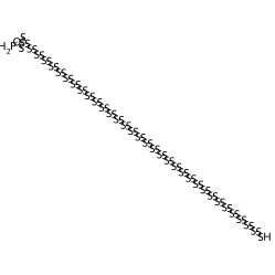 POS(=S)(=S)SSSSSSSSSSSSSSSSSSSSSSSSSSSSSSSSSSSSSSSSSSSSSSSSSSSSSSSSSSSSSSSSSS